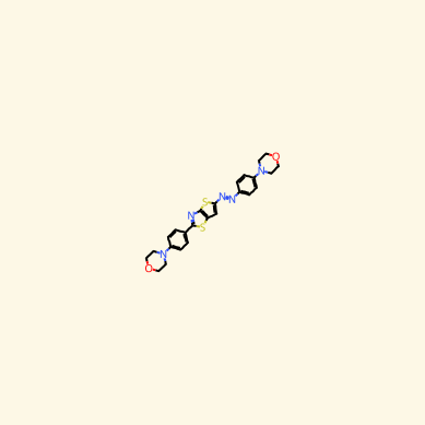 c1cc(N2CCOCC2)ccc1N=Nc1cc2sc(-c3ccc(N4CCOCC4)cc3)nc2s1